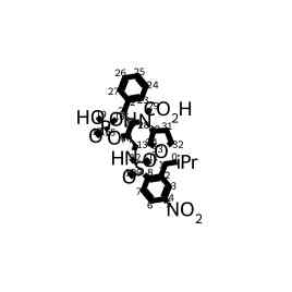 CC(C)Cc1cc([N+](=O)[O-])ccc1S(=O)(=O)NC[C@@H](OP(=O)(O)O)[C@H](Cc1ccccc1)N(C(=O)O)C1CCOC1